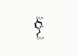 O=C(O)CC[n+]1ccc(C(=O)O)cn1